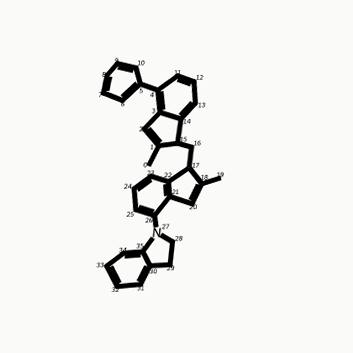 CC1=Cc2c(-c3ccccc3)cccc2C1CC1C(C)=Cc2c1cccc2N1CCc2ccccc21